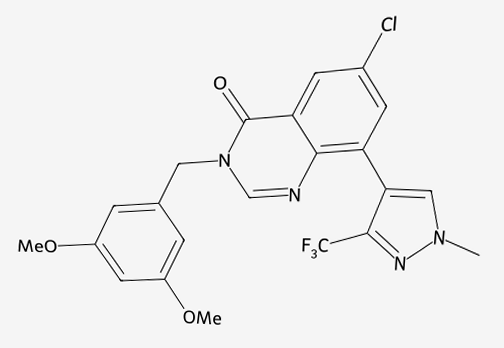 COc1cc(Cn2cnc3c(-c4cn(C)nc4C(F)(F)F)cc(Cl)cc3c2=O)cc(OC)c1